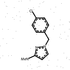 CNc1ccn(Cc2ccc(Cl)cc2)n1